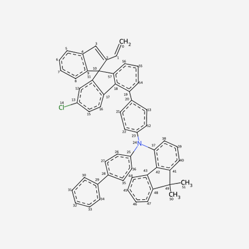 C=CC1=Cc2ccccc2C12c1cc(Cl)ccc1-c1c(-c3ccc(N(c4ccc(-c5ccccc5)cc4)c4cccc5c4-c4ccccc4C5(C)C)cc3)cccc12